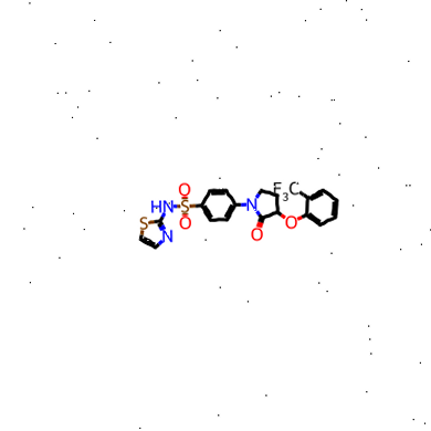 O=C1C(Oc2ccccc2C(F)(F)F)CCN1c1ccc(S(=O)(=O)Nc2nccs2)cc1